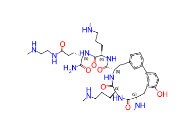 CNCCC[C@@H]1NC(=O)[C@@H](NC)Cc2cc(ccc2O)-c2cccc(c2)C[C@@H](C(=O)N[C@H](CCCNC)C(=O)N[C@@H](CCC(=O)NCCNC)C(N)=O)NC1=O